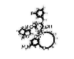 Nc1ccc2c(c1)COCCCCCCCN(C[C@@H](O)[C@H](Cc1cc(F)cc(F)c1)NC(=O)O[C@H]1CO[C@H]3OCC[C@H]31)S2(=O)=O